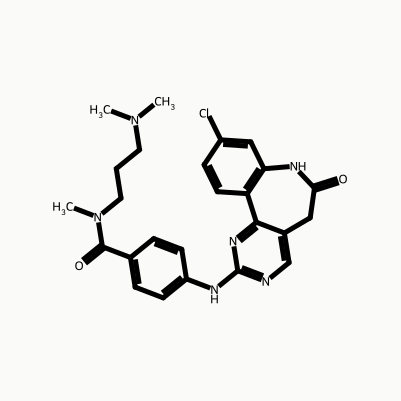 CN(C)CCCN(C)C(=O)c1ccc(Nc2ncc3c(n2)-c2ccc(Cl)cc2NC(=O)C3)cc1